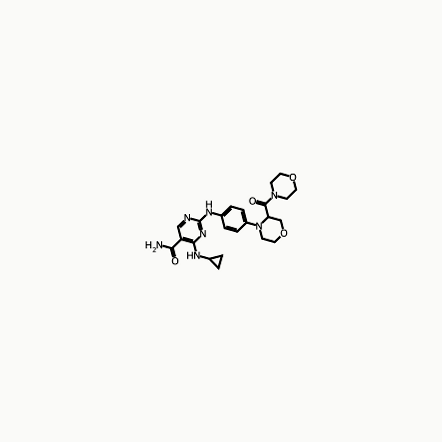 NC(=O)c1cnc(Nc2ccc(N3CCOCC3C(=O)N3CCOCC3)cc2)nc1NC1CC1